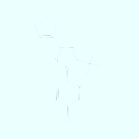 FC(F)(F)c1cc(-c2ccco2)nn1-c1ccc(Br)cn1